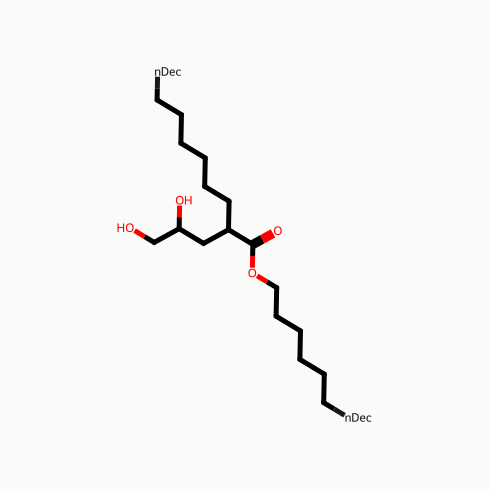 CCCCCCCCCCCCCCCCOC(=O)C(CCCCCCCCCCCCCCCC)CC(O)CO